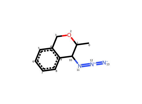 CC1OCc2ccccc2C1N=[N+]=[N-]